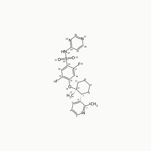 Cc1ncccc1[C@H]1CCCC[C@]1(C)Oc1cc(F)c(S(=O)(=O)Nc2ccncn2)cc1F